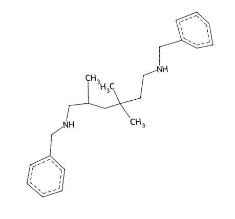 CC(CNCc1ccccc1)CC(C)(C)CCNCc1ccccc1